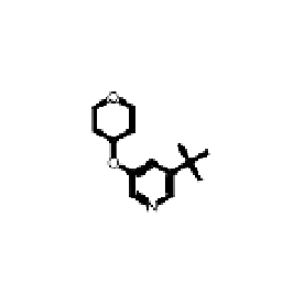 CC(C)(C)c1cncc(OC2CCOCC2)c1